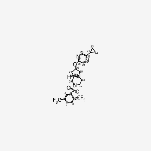 O=S(=O)(c1cc(C(F)(F)F)ccc1C(F)(F)F)N1CCN2C[C@H](Oc3cnc(C4CC4)cn3)C[C@H]2C1